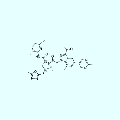 CC(=O)c1nn(CC(=O)N2[C@H](I)[C@@H](Cc3nnc(C)o3)C[C@H]2C(=O)Nc2nc(Br)ccc2C)c2c(C)cc(-c3cnc(C)nc3)cc12